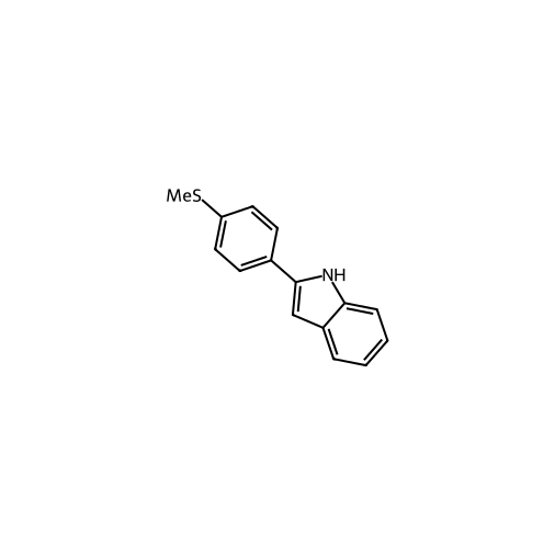 CSc1ccc(-c2cc3ccccc3[nH]2)cc1